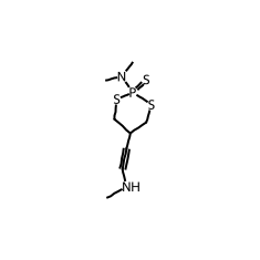 CNC#CC1CSP(=S)(N(C)C)SC1